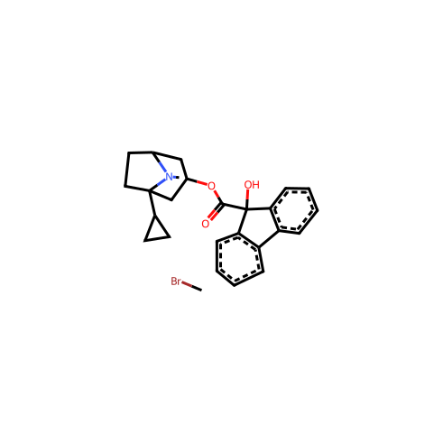 CBr.CN1C2CCC1(C1CC1)CC(OC(=O)C1(O)c3ccccc3-c3ccccc31)C2